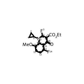 CCOC(=O)c1c(F)n(C2CC2)c2c(OC)ccc(F)c2c1=O